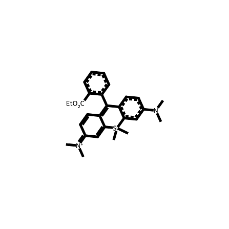 CCOC(=O)c1ccccc1C1=C2C=CC(=[N+](C)C)C=C2[Si](C)(C)c2cc(N(C)C)ccc21